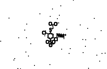 O=C([O-])CSc1cc(Cl)c(S(=O)(=O)[O-])cc1Cl.[Na+].[Na+]